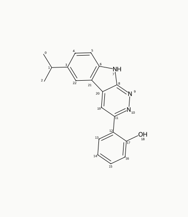 CC(C)c1ccc2[nH]c3nnc(-c4ccccc4O)cc3c2c1